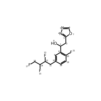 OC(Cc1nnco1)c1cc(CC(F)C(F)CF)ccc1F